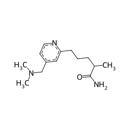 CC(CCCc1cc(CN(C)C)ccn1)C(N)=O